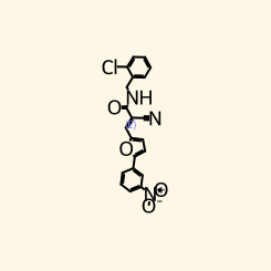 N#C/C(=C\c1ccc(-c2cccc([N+](=O)[O-])c2)o1)C(=O)NCc1ccccc1Cl